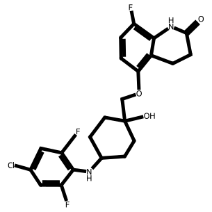 O=C1CCc2c(OCC3(O)CCC(Nc4c(F)cc(Cl)cc4F)CC3)ccc(F)c2N1